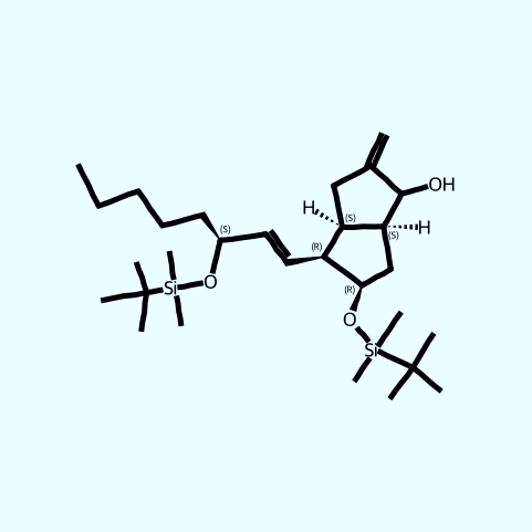 C=C1C[C@@H]2[C@H](C=C[C@H](CCCCC)O[Si](C)(C)C(C)(C)C)[C@H](O[Si](C)(C)C(C)(C)C)C[C@@H]2C1O